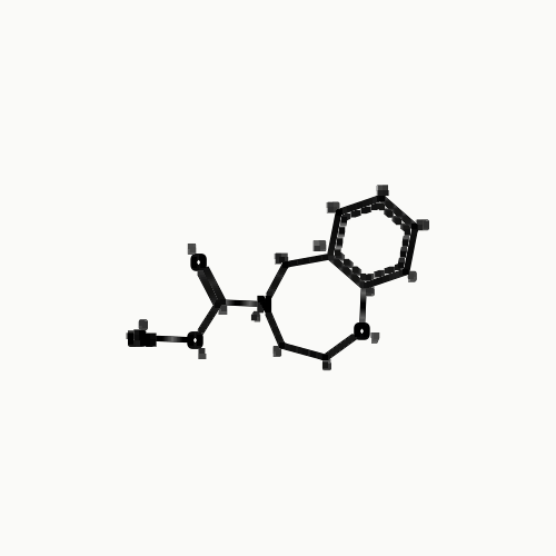 CC(C)(C)OC(=O)N1CCOc2ccccc2C1